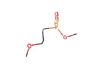 COCC[PH](=O)OC